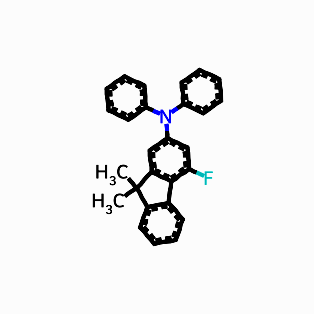 CC1(C)c2ccccc2-c2c(F)cc(N(c3ccccc3)c3ccccc3)cc21